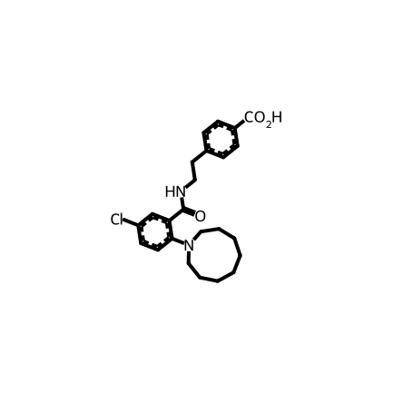 O=C(O)c1ccc(CCNC(=O)c2cc(Cl)ccc2N2CCCCCCCC2)cc1